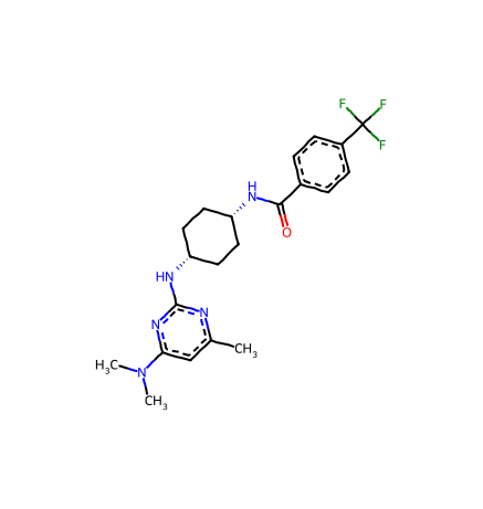 Cc1cc(N(C)C)nc(N[C@H]2CC[C@@H](NC(=O)c3ccc(C(F)(F)F)cc3)CC2)n1